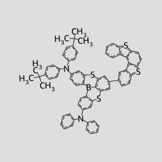 CC(C)(C)c1ccc(N(c2ccc(C(C)(C)C)cc2)c2ccc3c(c2)Sc2cc(-c4ccc5sc6ccc7sc8ccccc8c7c6c5c4)cc4c2B3c2ccc(N(c3ccccc3)c3ccccc3)cc2S4)cc1